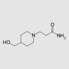 NC(=O)CCN1CCC(CO)CC1